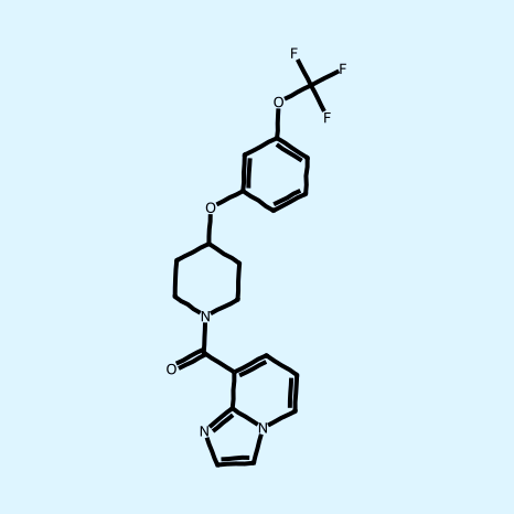 O=C(c1cccn2ccnc12)N1CCC(Oc2cccc(OC(F)(F)F)c2)CC1